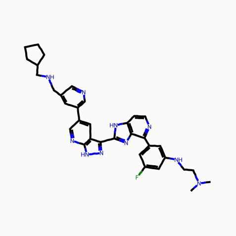 CN(C)CCNc1cc(F)cc(-c2nccc3[nH]c(-c4n[nH]c5ncc(-c6cncc(CNCC7CCCC7)c6)cc45)nc23)c1